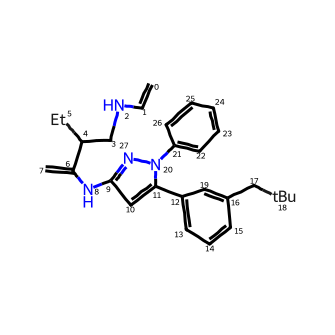 C=CNCC(CC)C(=C)Nc1cc(-c2cccc(CC(C)(C)C)c2)n(-c2ccccc2)n1